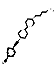 CCCCC[C@H]1CC[C@H]([C@H]2CC[C@H](C#Cc3ccc(C#N)cc3)CC2)CC1